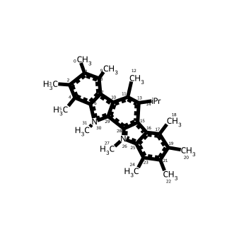 Cc1c(C)c(C)c2c(c1C)c1c(C)c(C(C)C)c3c4c(C)c(C)c(C)c(C)c4n(C)c3c1n2C